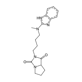 CN(CCCCN1C(=O)C2CCCN2C1=O)c1nc2ccccc2[nH]1